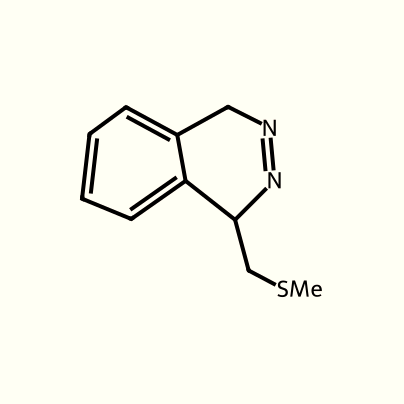 CSCC1N=NCc2ccccc21